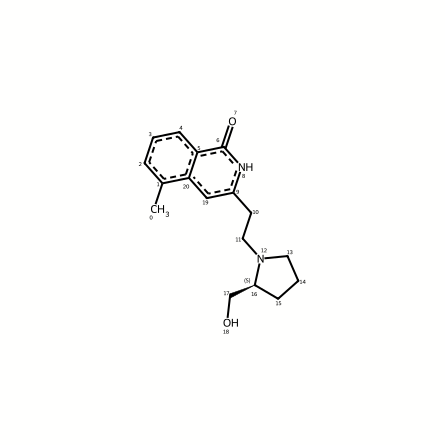 Cc1cccc2c(=O)[nH]c(CCN3CCC[C@H]3CO)cc12